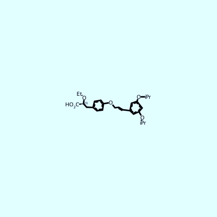 CCO[C@@H](Cc1ccc(OCC=Cc2cc(OC(C)C)cc(OC(C)C)c2)cc1)C(=O)O